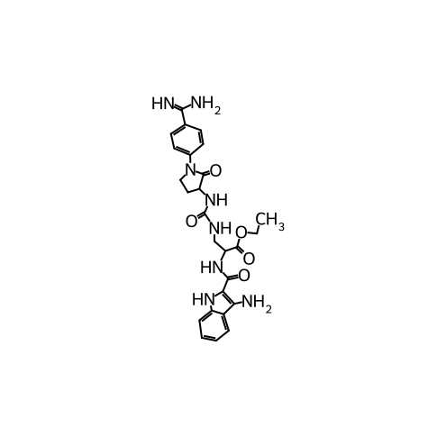 CCOC(=O)C(CNC(=O)NC1CCN(c2ccc(C(=N)N)cc2)C1=O)NC(=O)c1[nH]c2ccccc2c1N